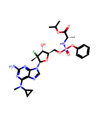 CC(C)OC(=O)[C@H](C)N[P@@](=O)(OC[C@H]1O[C@@H](n2cnc3c(N(C)C4CC4)nc(N)nc32)[C@](C)(F)[C@@H]1O)Oc1ccccc1